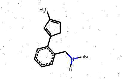 CCCC[N]([Ti])Cc1ccccc1C1=CC(C)=CC1